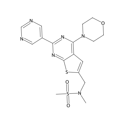 CN(Cc1cc2c(N3CCOCC3)nc(-c3cncnc3)nc2s1)S(C)(=O)=O